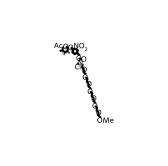 COCCOCCOCCOCCOCCOCCOCCOCCN(CCl)C(=O)OCc1ccc(OC2OC(C(C)=O)C(C)[C@H](C)[C@@H]2C)c([N+](=O)[O-])c1